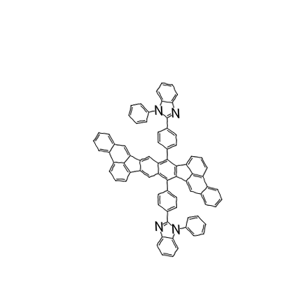 c1ccc(-n2c(-c3ccc(-c4c5cc6c(cc5c(-c5ccc(-c7nc8ccccc8n7-c7ccccc7)cc5)c5c7cc8ccccc8c8cccc(c45)c87)c4cccc5c7ccccc7cc6c54)cc3)nc3ccccc32)cc1